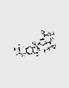 C[C@H](Oc1ccc(S(=O)(=O)[C@@H]2C[C@@H](C(=O)O)N(C(=O)C3(C(F)(F)F)CC3)C2)c(Cl)c1)C(F)(F)F